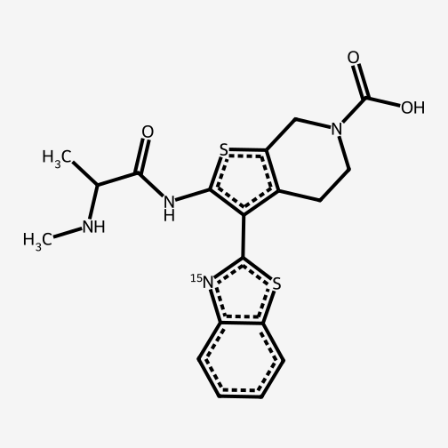 CNC(C)C(=O)Nc1sc2c(c1-c1[15n]c3ccccc3s1)CCN(C(=O)O)C2